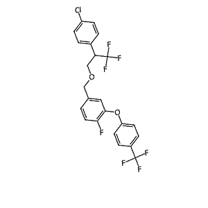 Fc1ccc(COCC(c2ccc(Cl)cc2)C(F)(F)F)cc1Oc1ccc(C(F)(F)F)cc1